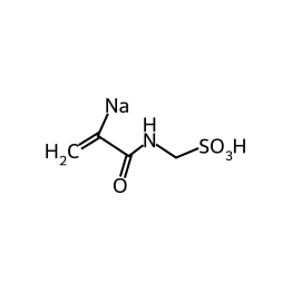 C=[C]([Na])C(=O)NCS(=O)(=O)O